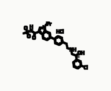 CC(C)n1cc(C(=O)NS(C)(=O)=O)c2ccc(-c3ccc(CCNC[C@@H](O)c4cccc(Cl)c4)cc3)cc21.Cl